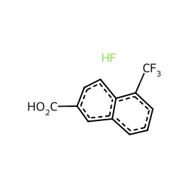 F.O=C(O)c1ccc2c(C(F)(F)F)cccc2c1